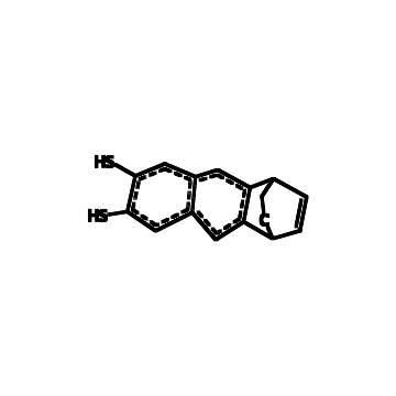 Sc1cc2cc3c(cc2cc1S)C1C=CC3CC1